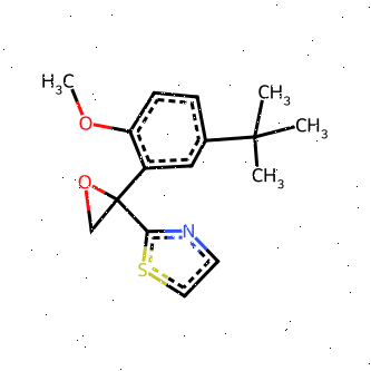 COc1ccc(C(C)(C)C)cc1C1(c2nccs2)CO1